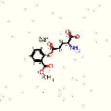 COC(=O)c1ccccc1OC(=O)CC[C@H](N)C(=O)[O-].[Na+]